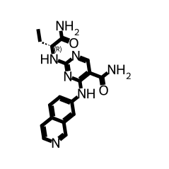 CC[C@@H](Nc1ncc(C(N)=O)c(Nc2ccc3ccncc3c2)n1)C(N)=O